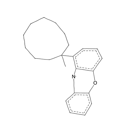 CC1(c2cccc3c2[N]c2ccccc2O3)CCCCCCCCC1